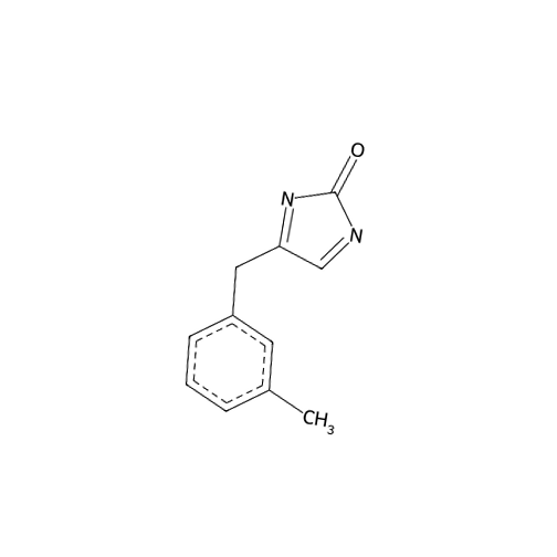 Cc1cccc(CC2=NC(=O)N=C2)c1